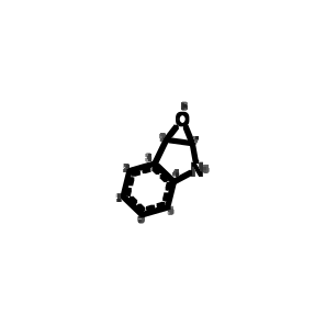 c1ccc2c(c1)[N]C1OC21